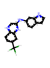 FC(F)(F)c1ccc2ncc(Nc3ccc4cc[nH]c4c3)nc2c1